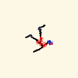 CCCCC/C=C\C/C=C\CCCCCCCC(=O)OCC(COC(=O)CCCCCCC/C=C\C/C=C\CCCCC)OC(=O)CCC(CCCCCCCCCCCC)OC(=O)OCCCn1ccnc1C